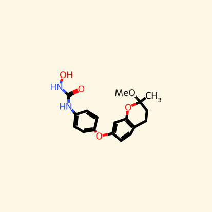 COC1(C)CCc2ccc(Oc3ccc(NC(=O)NO)cc3)cc2O1